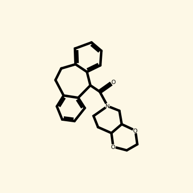 O=C(C1c2ccccc2CCc2ccccc21)N1CCC2OCCOC2C1